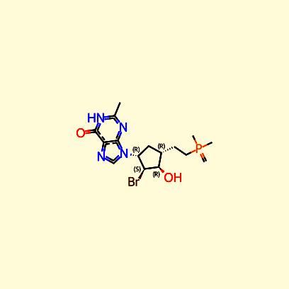 C=P(C)(C)CC[C@H]1C[C@@H](n2cnc3c(=O)[nH]c(C)nc32)[C@H](Br)[C@@H]1O